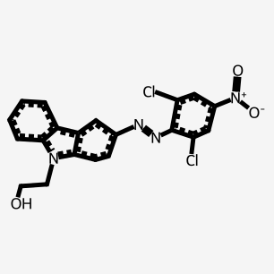 O=[N+]([O-])c1cc(Cl)c(N=Nc2ccc3c(c2)c2ccccc2n3CCO)c(Cl)c1